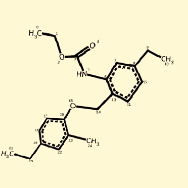 CCOC(=O)Nc1cc(CC)ccc1COc1ccc(CC)cc1C